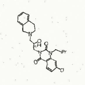 CC(C)Cn1c(=O)n(C[C@H](O)CN2CCc3ccccc3C2)c(=O)c2ccc(Cl)cc21